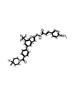 CC1(F)CCN(C(=O)c2ccc(-c3cc(C(F)(F)F)c4oc(CNC(=O)/C=C/c5ccc(N)nc5)cc4c3)cc2)CC1